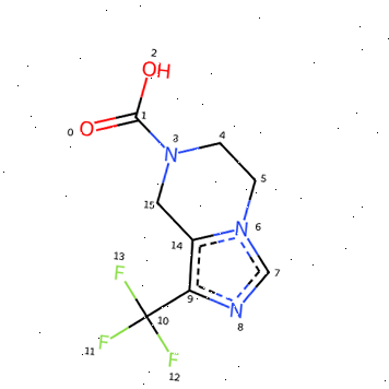 O=C(O)N1CCn2cnc(C(F)(F)F)c2C1